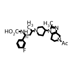 CC(=O)N1CCc2c(nc(C)n2C2CCN(C(C)C[C@H](NC(=O)O)c3cccc(F)c3)CC2)C1